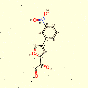 O=CC(=O)c1cc(-c2cccc([N+](=O)[O-])c2)co1